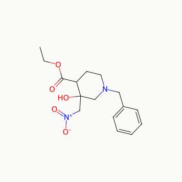 CCOC(=O)C1CCN(Cc2ccccc2)CC1(O)C[N+](=O)[O-]